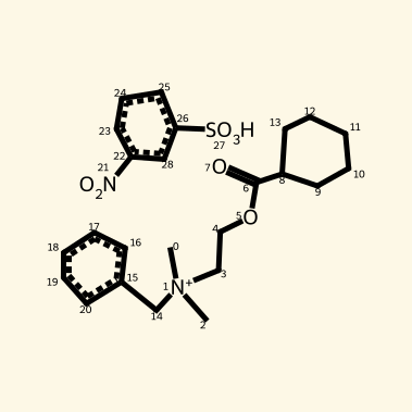 C[N+](C)(CCOC(=O)C1CCCCC1)Cc1ccccc1.O=[N+]([O-])c1cccc(S(=O)(=O)O)c1